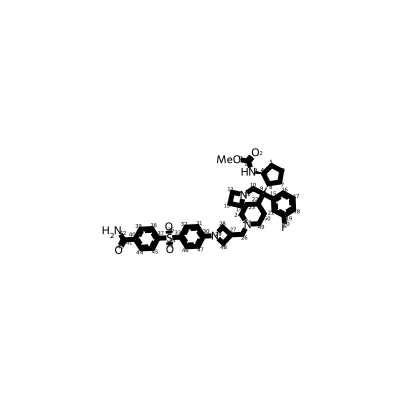 COC(=O)N[C@H]1CCC[C@@H]1C(CN1CCC1)(c1cccc(F)c1)C1CCN(CC2CN(c3ccc(S(=O)(=O)c4ccc(C(N)=O)cc4)cc3)C2)CC1